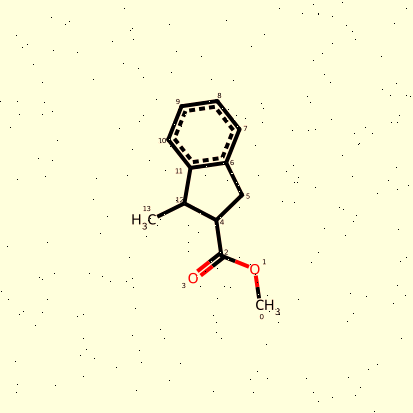 COC(=O)C1Cc2ccccc2C1C